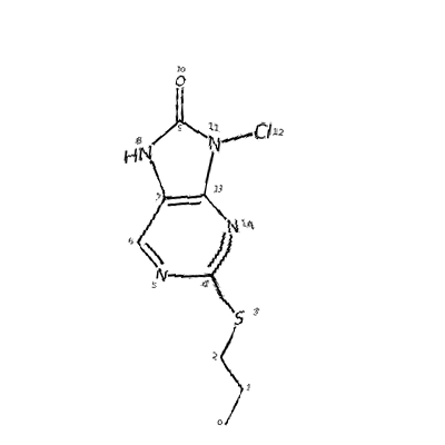 CCCSc1ncc2[nH]c(=O)n(Cl)c2n1